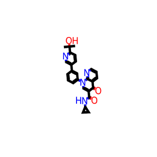 CC(C)(O)c1ccc(-c2cccc(-n3cc(C(=O)NC4CC4)c(=O)c4cccnc43)c2)cn1